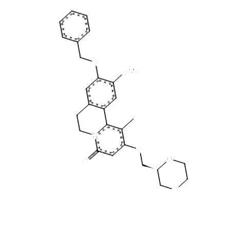 COc1cc2c(cc1OCc1ccccc1)CCn1c-2c(C)c(OC[C@@H]2COCCO2)cc1=O